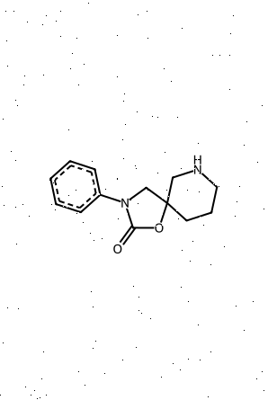 O=C1OC2(CCCNC2)CN1c1ccccc1